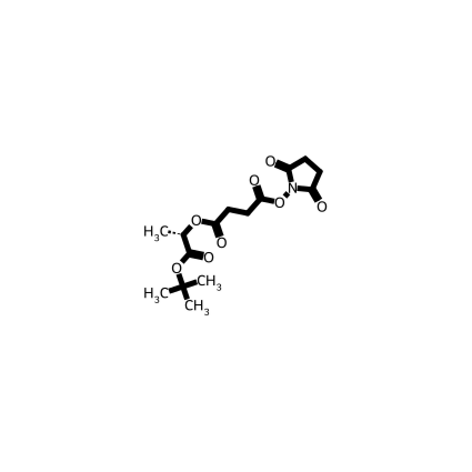 C[C@H](OC(=O)CCC(=O)ON1C(=O)CCC1=O)C(=O)OC(C)(C)C